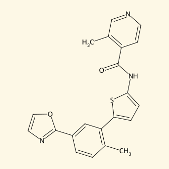 Cc1cnccc1C(=O)Nc1ccc(-c2cc(-c3ncco3)ccc2C)s1